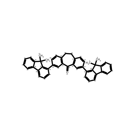 CC1(C)c2ccccc2-c2cccc(-c3ccc4c(c3)C(=O)c3cc(-c5cccc6c5C(C)(C)c5ccccc5-6)ccc3CC4)c21